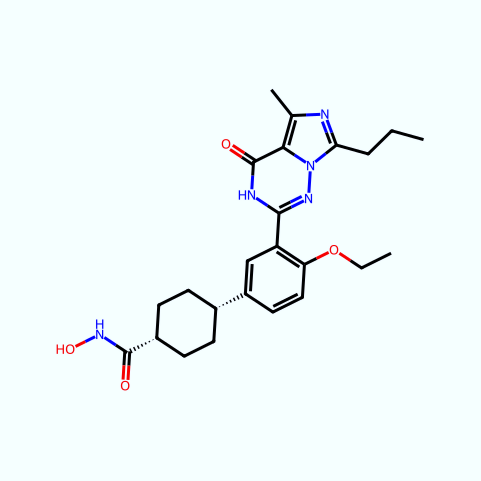 CCCc1nc(C)c2c(=O)[nH]c(-c3cc([C@H]4CC[C@@H](C(=O)NO)CC4)ccc3OCC)nn12